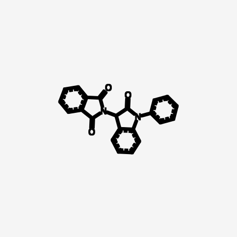 O=C1C(N2C(=O)c3ccccc3C2=O)c2ccccc2N1c1ccccc1